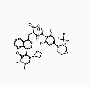 Cc1cc(N2CCC2)c(-c2ccc(CC(NC(=O)c3c(F)cc(N4CCOC[C@@H]4C(F)(F)F)cc3F)C(=O)O)c3cccnc23)c(=O)n1C